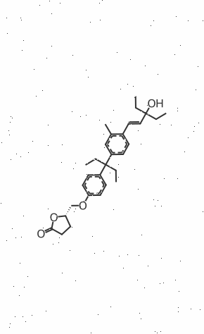 CCC(O)(C=Cc1ccc(C(CC)(CC)c2ccc(OC[C@@H]3CCC(=O)O3)cc2)cc1C)CC